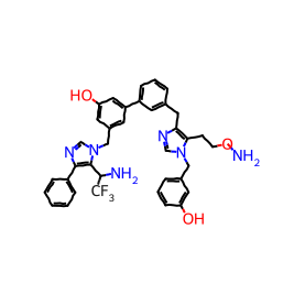 NOCCc1c(Cc2cccc(-c3cc(O)cc(Cn4cnc(-c5ccccc5)c4C(N)C(F)(F)F)c3)c2)ncn1Cc1cccc(O)c1